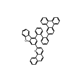 c1ccc(-c2ccccc2-c2cc(-c3ccc4ccc5ccccc5c4n3)cc3oc4ccccc4c23)c(-c2ccc3c4ccccc4c4ccccc4c3c2)c1